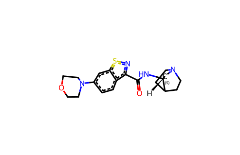 O=C(N[C@@H]1CN2CCC1CC2)c1nsc2cc(N3CCOCC3)ccc12